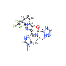 Cn1ncnc1C(=O)N1CCc2[nH]cnc2[C@H]1c1cc2cccc(C(F)(F)F)n2n1